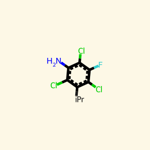 CC(C)c1c(Cl)c(N)c(Cl)c(F)c1Cl